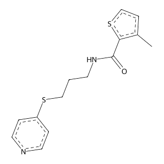 Cc1ccsc1C(=O)NCCCSc1ccncc1